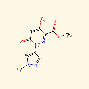 COC(=O)c1nn(-c2cnn(C)c2)c(=O)cc1O